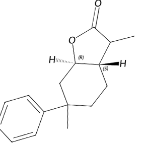 CC1C(=O)O[C@@H]2CC(C)(c3ccccc3)CC[C@@H]12